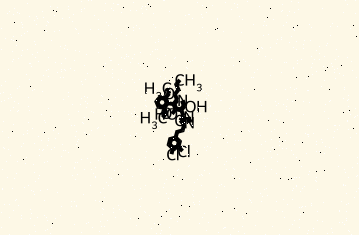 CCCCc1nc(O)c(-c2nnc(CCc3ccc(Cl)c(Cl)c3)o2)c(O)c1-c1c(OC)cccc1OC